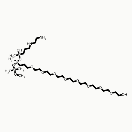 CO[Si](C)(C)O[Si](C)(CCCOCCOCCOCCOCCOCCOCCOCCOCCO)O[Si](C)(O)CCCNCCN